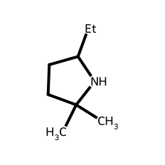 CCC1CCC(C)(C)N1